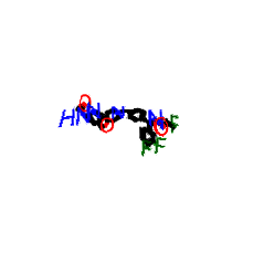 CC(=O)Nc1cc2c(cn1)C1(CCN(Cc3ccc(C(=NOCCF)c4ccc(F)c(F)c4)cc3)CC1)OC2